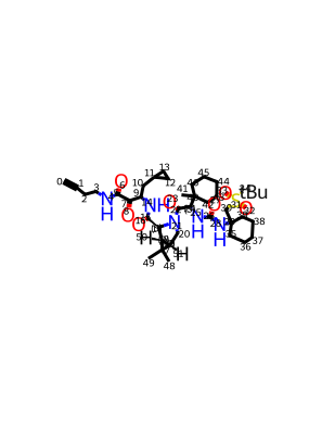 C#CCCNC(=O)C(=O)C(CC1CC1)NC(=O)[C@@H]1[C@@H]2[C@H](CN1C(=O)[C@@H](NC(=O)NC1(CS(=O)(=O)C(C)(C)C)CCCCC1)C1(C)CCCCC1)C2(C)C